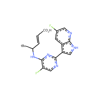 CC(C)(C)C(C=CC(=O)O)Nc1nc(-c2c[nH]c3ncc(F)cc23)ncc1F